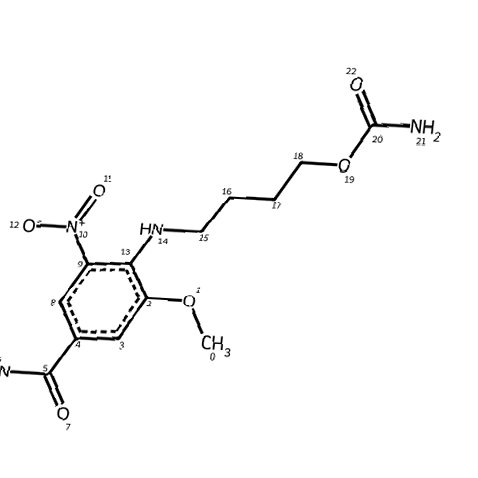 COc1cc(C(N)=O)cc([N+](=O)[O-])c1NCCCCOC(N)=O